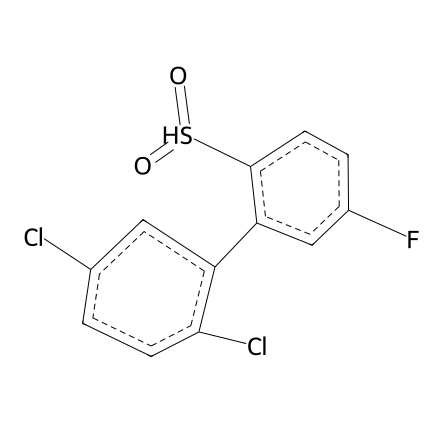 O=[SH](=O)c1ccc(F)cc1-c1cc(Cl)ccc1Cl